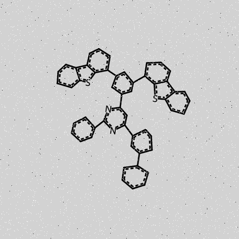 c1ccc(-c2cccc(-c3cc(-c4cc(-c5cccc6c5sc5ccccc56)cc(-c5cccc6c5sc5ccccc56)c4)nc(-c4ccccc4)n3)c2)cc1